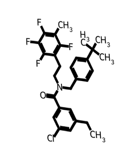 CCc1cc(Cl)cc(C(=O)N(CCc2c(F)c(C)c(F)c(F)c2F)Cc2ccc(C(C)(C)C)cc2)c1